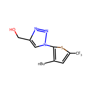 CCCCc1cc(C(F)(F)F)sc1-n1cc(CO)nn1